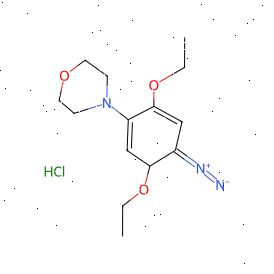 CCOC1=CC(=[N+]=[N-])C(OCC)C=C1N1CCOCC1.Cl